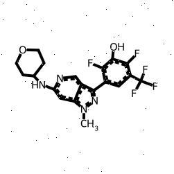 Cn1nc(-c2cc(C(F)(F)F)c(F)c(O)c2F)c2cnc(NC3CCOCC3)cc21